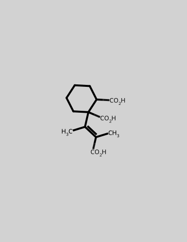 CC(C(=O)O)=C(C)C1(C(=O)O)CCCCC1C(=O)O